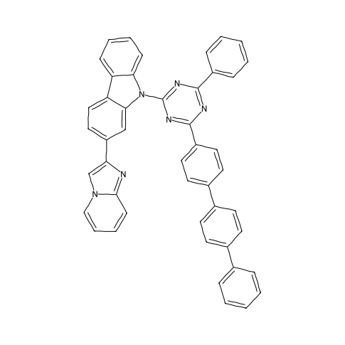 c1ccc(-c2ccc(-c3ccc(-c4nc(-c5ccccc5)nc(-n5c6ccccc6c6ccc(-c7cn8ccccc8n7)cc65)n4)cc3)cc2)cc1